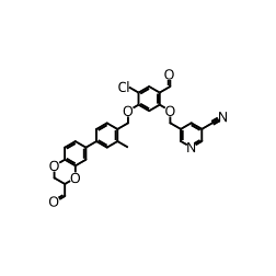 Cc1cc(-c2ccc3c(c2)OC(C=O)CO3)ccc1COc1cc(OCc2cncc(C#N)c2)c(C=O)cc1Cl